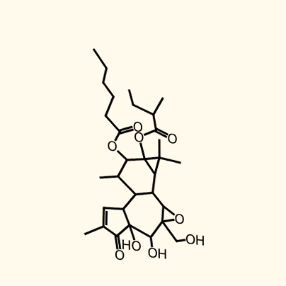 CCCCCC(=O)OC1C(C)C2C(C3OC3(CO)C(O)C3(O)C(=O)C(C)=CC23)C2C(C)(C)C12OC(=O)C(C)CC